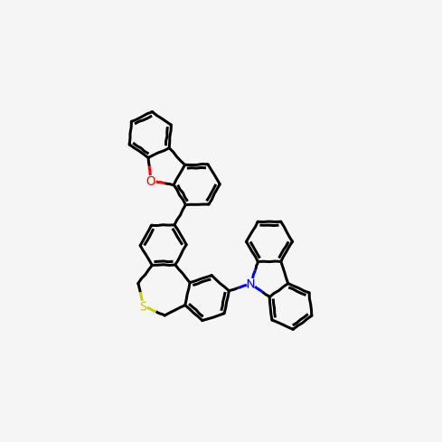 c1ccc2c(c1)oc1c(-c3ccc4c(c3)-c3cc(-n5c6ccccc6c6ccccc65)ccc3CSC4)cccc12